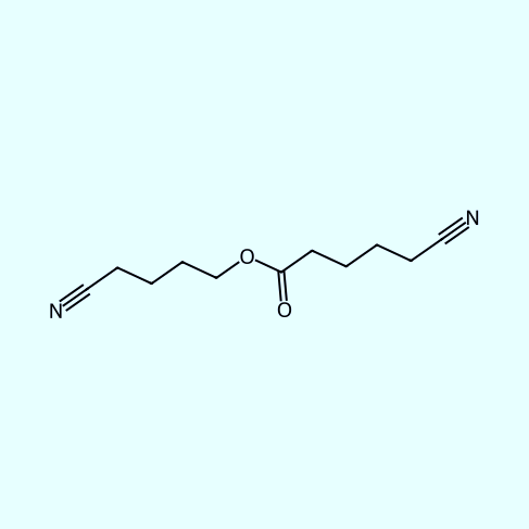 N#CCCCCOC(=O)CCCCC#N